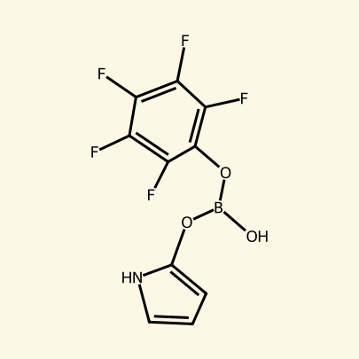 OB(Oc1ccc[nH]1)Oc1c(F)c(F)c(F)c(F)c1F